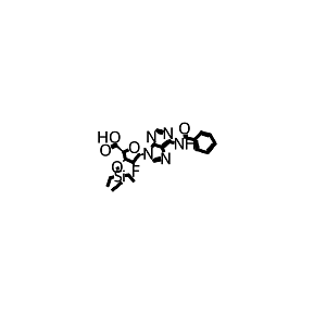 CC[Si](CC)(CC)O[C@H]1[C@H](F)[C@H](n2cnc3c(NC(=O)c4ccccc4)ncnc32)O[C@@H]1C(=O)O